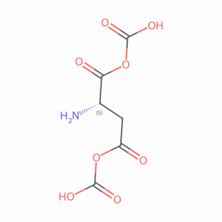 N[C@@H](CC(=O)OC(=O)O)C(=O)OC(=O)O